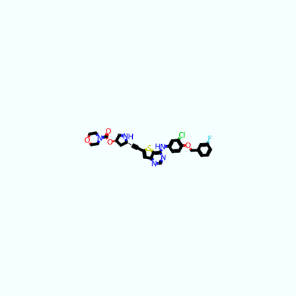 O=C(O[C@H]1CN[C@H](C#Cc2cc3ncnc(Nc4ccc(OCc5cccc(F)c5)c(Cl)c4)c3s2)C1)N1CCOCC1